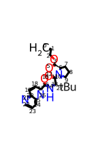 C=CCOC(=O)[C@H]1CCCN1C(=O)[C@@H](NC(=O)c1ccc2ncccc2n1)C(C)(C)C